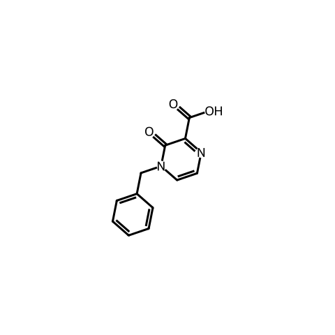 O=C(O)c1nccn(Cc2ccccc2)c1=O